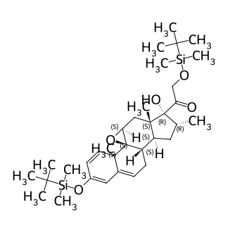 C[C@@H]1C[C@H]2[C@@H]3CC=C4C=C(O[Si](C)(C)C(C)(C)C)C=C[C@]4(C)[C@@]34O[C@H]4C[C@]2(C)[C@@]1(O)C(=O)CO[Si](C)(C)C(C)(C)C